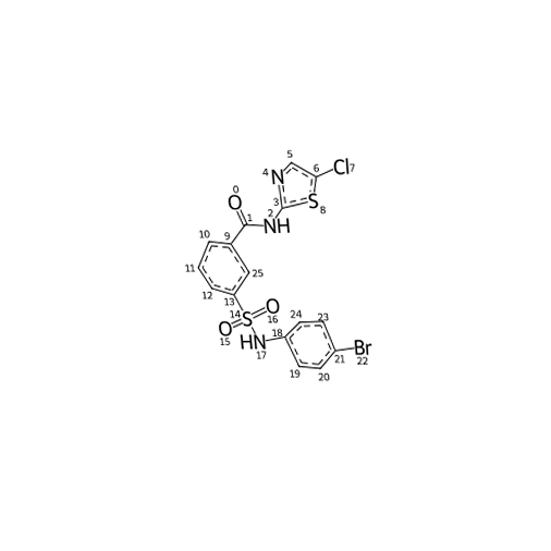 O=C(Nc1ncc(Cl)s1)c1cccc(S(=O)(=O)Nc2ccc(Br)cc2)c1